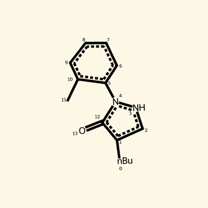 CCCCc1c[nH]n(-c2ccccc2C)c1=O